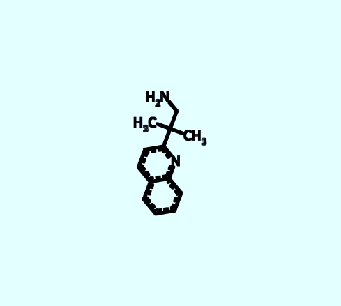 CC(C)(CN)c1ccc2ccccc2n1